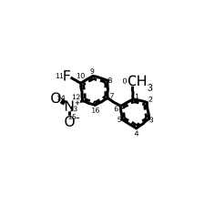 Cc1ccccc1-c1ccc(F)c([N+](=O)[O-])c1